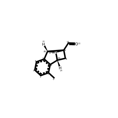 Cc1cccc2c1[C@H]1CC3(C=O)[C@@H]2N13